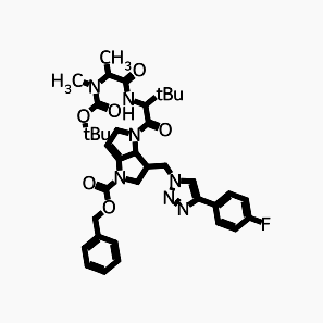 CC(C(=O)NC(C(=O)N1CC=C2C1C(Cn1cc(-c3ccc(F)cc3)nn1)CN2C(=O)OCc1ccccc1)C(C)(C)C)N(C)C(=O)OC(C)(C)C